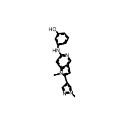 Cn1cc(-c2cc3cnc(Nc4cccc(O)c4)cc3n2C)cn1